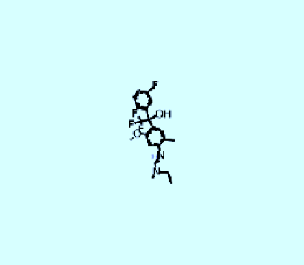 CCN(C)/C=N/c1cc(OC)c(C(O)(c2cccc(F)c2)C(F)(F)F)cc1C